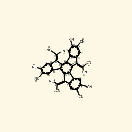 N#CC(C#N)=C1c2cc(C#N)c(C#N)cc2-c2c1c1c(c3c2C(=C(C#N)C#N)c2cc(C#N)c(C#N)cc2-3)C(=C(C#N)C#N)c2cc(C#N)c(C#N)cc2-1